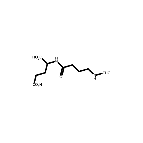 O=CNCCCC(=O)NC(CCC(=O)O)C(=O)O